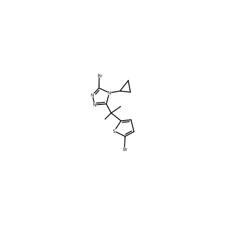 CC(C)(c1ccc(Br)s1)c1nnc(Br)n1C1CC1